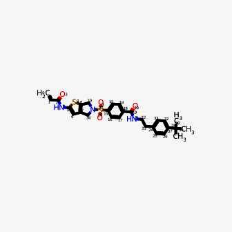 C=CC(=O)Nc1cc2c(s1)CN(S(=O)(=O)c1ccc(C(=O)NCCc3ccc(C(C)(C)C)cc3)cc1)C2